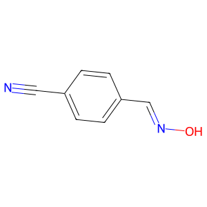 N#Cc1ccc(/C=N/O)cc1